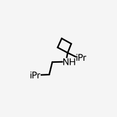 CC(C)CCNC1(C(C)C)CCC1